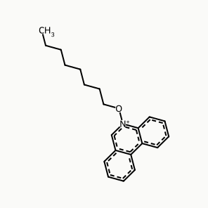 CCCCCCCCO[n+]1cc2ccccc2c2ccccc21